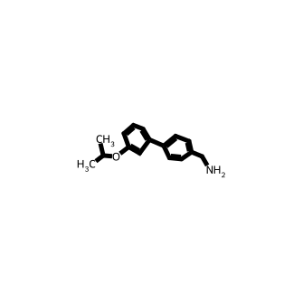 CC(C)Oc1cccc(-c2ccc(CN)cc2)c1